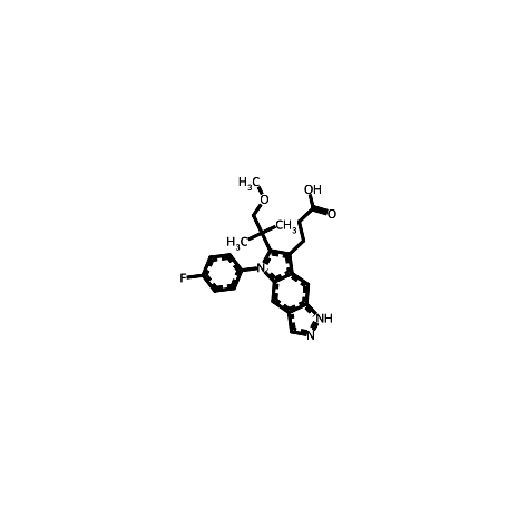 COCC(C)(C)c1c(CCC(=O)O)c2cc3[nH]ncc3cc2n1-c1ccc(F)cc1